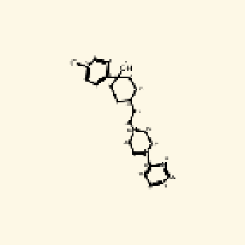 OC1(c2ccc(F)cc2)CCC(CCN2CCN(c3ccccn3)CC2)CC1